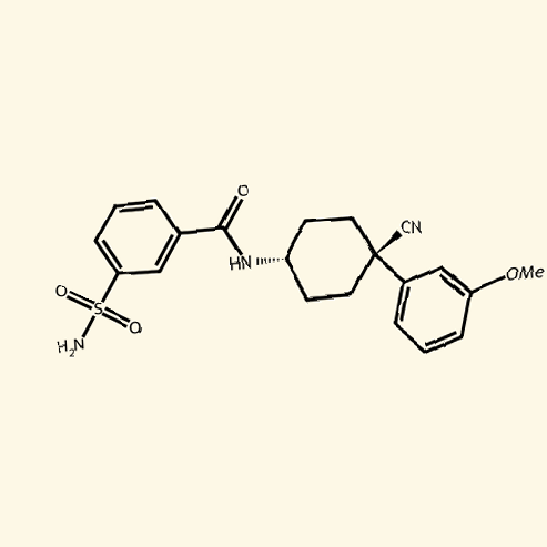 COc1cccc([C@]2(C#N)CC[C@H](NC(=O)c3cccc(S(N)(=O)=O)c3)CC2)c1